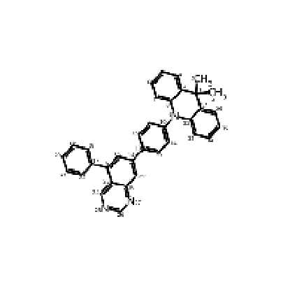 CC1(C)c2ccccc2N(c2ccc(-c3cc(-c4ccccc4)c4cncnc4c3)cc2)c2ccccc21